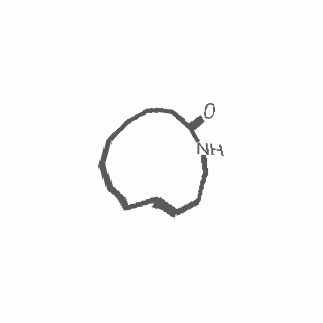 O=C1CCCCCCC/C=C/CCN1